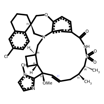 CO[C@]1(c2nccn2C)/C=C/C[C@H](C)[C@@H](C)S(=O)(=O)NC(=O)c2ccc3c(c2)N(C[C@@H]2CC[C@H]21)C[C@@]1(CCCc2cc(Cl)ccc21)CO3